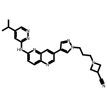 CC(C)c1cnnc(Nc2ccc3ncc(-c4cnn(CCCN5CC(C#N)C5)c4)cc3n2)c1